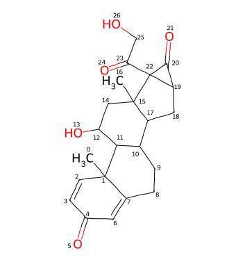 CC12C=CC(=O)C=C1CCC1C2C(O)CC2(C)C1CC1C(=O)C12C(=O)CO